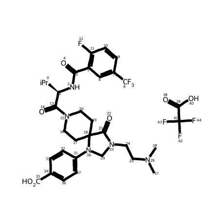 CC(C)[C@@H](NC(=O)c1cc(C(F)(F)F)ccc1F)C(=O)N1CCC2(CC1)C(=O)N(CCN(C)C)CN2c1ccc(C(=O)O)cc1.O=C(O)C(F)(F)F